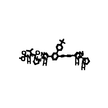 COC(=O)N[C@H](C(=O)N1CCC[C@H]1c1ncc(-c2ccc(C#CC#Cc3cnc([C@@H]4CCCN4)[nH]3)c(-c3ccc(C(C)(C)C)cc3)c2)[nH]1)C(C)C